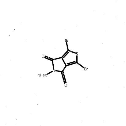 CCCCCCN1C(=O)c2c(Br)sc(Br)c2C1=O